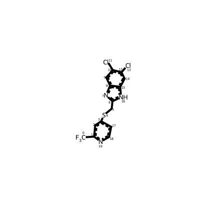 FC(F)(F)c1cc(SCc2nc3cc(Cl)c(Cl)cc3[nH]2)ccn1